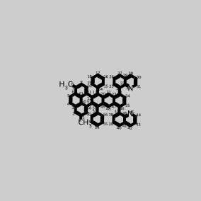 Cc1cc2ccc3c(C)ccc4c5c(-c6ccccc6)c6cc7c(-c8cccc9cccnc89)ccc(-c8cccc9cccnc89)c7cc6c(-c6ccccc6)c5c(c1)c2c34